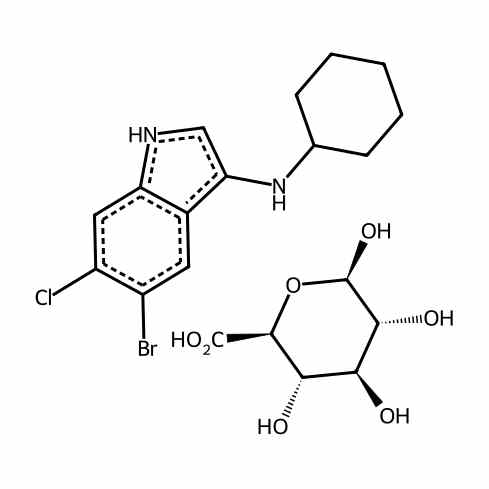 Clc1cc2[nH]cc(NC3CCCCC3)c2cc1Br.O=C(O)[C@H]1O[C@@H](O)[C@H](O)[C@@H](O)[C@@H]1O